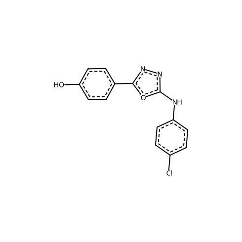 Oc1ccc(-c2nnc(Nc3ccc(Cl)cc3)o2)cc1